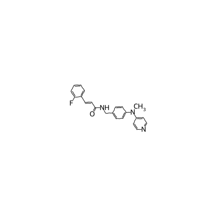 CN(c1ccncc1)c1ccc(CNC(=O)/C=C/c2ccccc2F)cc1